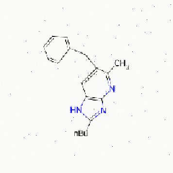 CCCCc1nc2nc(C)c(Cc3ccccc3)cc2[nH]1